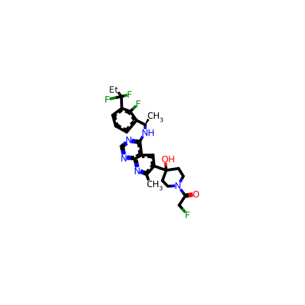 CCC(F)(F)c1cccc([C@@H](C)Nc2ncnc3nc(C)c(C4(O)CCN(C(=O)CF)CC4)cc23)c1F